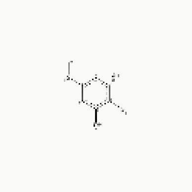 CSc1ccc(S)c(O)c1.[Zn]